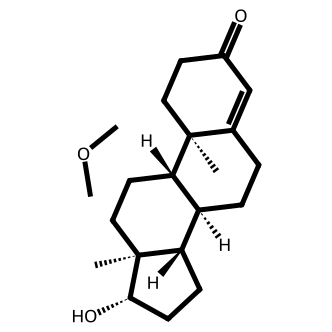 COC.C[C@]12CC[C@H]3[C@@H](CCC4=CC(=O)CC[C@@]43C)[C@@H]1CC[C@@H]2O